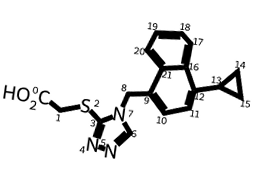 O=C(O)CSc1nncn1Cc1ccc(C2CC2)c2ccccc12